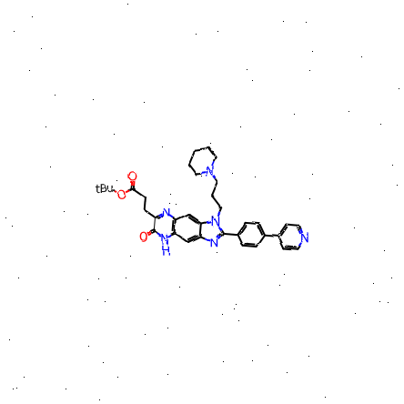 CC(C)(C)OC(=O)CCc1nc2cc3c(cc2[nH]c1=O)nc(-c1ccc(-c2ccncc2)cc1)n3CCCN1CCCCC1